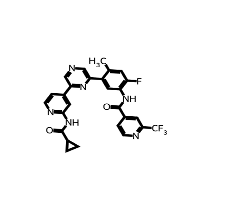 Cc1cc(F)c(NC(=O)c2ccnc(C(F)(F)F)c2)cc1-c1cncc(-c2ccnc(NC(=O)C3CC3)c2)n1